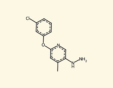 Cc1cc(Oc2cccc(Cl)c2)ncc1NN